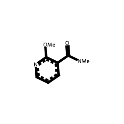 CNC(=O)c1[c]ccnc1OC